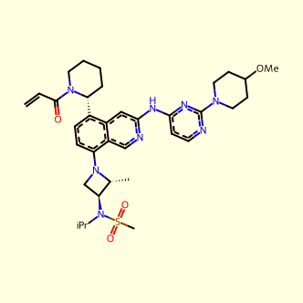 C=CC(=O)N1CCCC[C@@H]1c1ccc(N2C[C@H](N(C(C)C)S(C)(=O)=O)[C@H]2C)c2cnc(Nc3ccnc(N4CCC(OC)CC4)n3)cc12